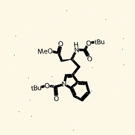 COC(=O)C[C@H](Cc1cn(C(=O)OC(C)(C)C)c2ccccc12)NC(=O)OC(C)(C)C